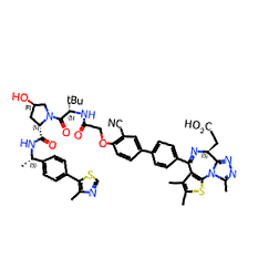 Cc1ncsc1-c1ccc([C@H](C)NC(=O)[C@@H]2C[C@@H](O)CN2C(=O)[C@@H](NC(=O)COc2ccc(-c3ccc(C4=N[C@@H](CC(=O)O)c5nnc(C)n5-c5sc(C)c(C)c54)cc3)cc2C#N)C(C)(C)C)cc1